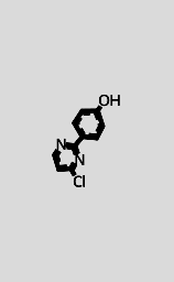 Oc1ccc(-c2nccc(Cl)n2)cc1